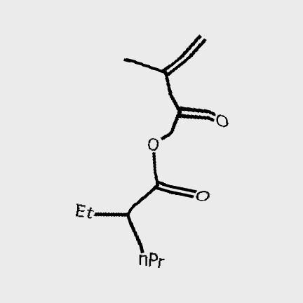 C=C(C)C(=O)OC(=O)C(CC)CCC